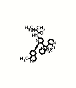 CNC(C)C(=O)Nc1ccc(-c2c(-c3cccnc3OC)nc3ccccn23)c(C#Cc2ccc3c(C)nccc3c2)n1